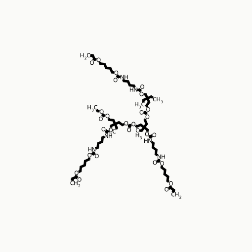 C=CC(=O)OCCCCCOC(=O)NCCCCNC(=O)OCC(CC)(CC)CCOC(=O)OCCC(CC)(CCOC(=O)OCCC(CC)(CCOC(=O)OCC)COC(=O)NCCCCNC(=O)OCCCCCOC(=O)C=C)COC(=O)NCCCCNC(=O)OCCCCCOC(=O)C=C